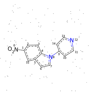 O=[N+]([O-])c1ccc2c(ccn2-c2ccncc2)c1